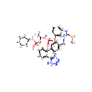 CCOc1nc2cccc(OC(=O)OC(C)OC(=O)OC3CCCCC3)c2n1Cc1ccc(-c2ccccc2-c2nnn[nH]2)cc1